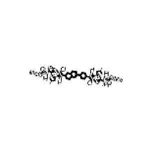 COC(=O)N[C@H](C(=O)N1C[C@@H](C)C[C@H]1c1nc(Cl)c(-c2ccc(-c3ccc4cc(-c5[nH]c([C@@H]6C[C@H](C)CN6C(=O)[C@@H](NC(=O)OC)C(C)C)nc5Cl)ccc4c3)cc2)[nH]1)C(C)C